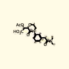 CC(=O)O[C@@H](C(=O)O)[C@H]1OCCN(c2cccc(CC(=O)N(C)C)c2)C1=O